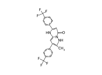 CC1=C(c2ccc(C(F)(F)F)cc2)C=C2NC(c3ccc(C(F)(F)F)cc3)=CC(=O)N2N1